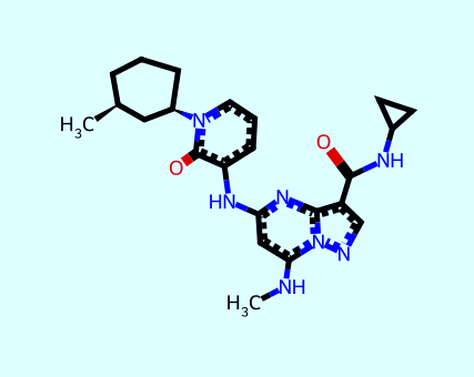 CNc1cc(Nc2cccn([C@@H]3CCC[C@H](C)C3)c2=O)nc2c(C(=O)NC3CC3)cnn12